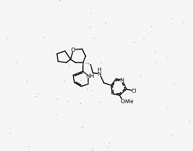 COc1cc(CNCC[C@@]2(C3=CC=CCN3)CCOC3(CCCC3)C2)cnc1Cl